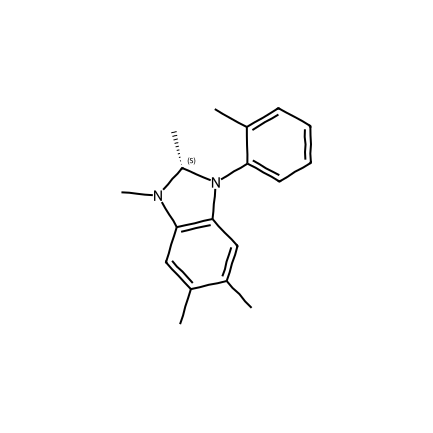 Cc1cc2c(cc1C)N(c1ccccc1C)[C@@H](C)N2C